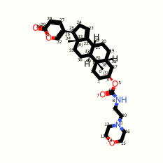 C[C@]12CC[C@H](OC(=O)NCCN3CCOCC3)C[C@H]1CC[C@H]1C3=CC[C@H](c4ccc(=O)oc4)[C@@]3(C)CC[C@@H]12